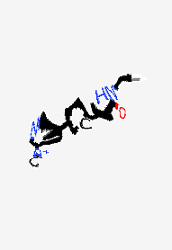 [C-]#[N+]c1cncc(-c2ccc(C(C)(C)C(=O)NCCC)cc2)c1